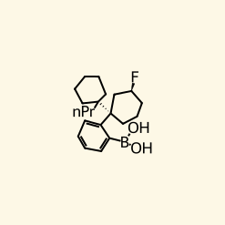 CCCC1([C@@]2(c3ccccc3B(O)O)CCC[C@H](F)C2)CCCCC1